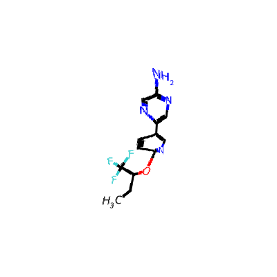 CCC(Oc1ccc(-c2cnc(N)cn2)cn1)C(F)(F)F